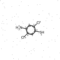 Nc1cc(Cl)c(S)cc1Cl